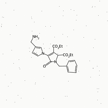 CCOC(=O)C1=C(n2ccc(CN)c2)C(=O)N(Cc2ccccc2)C1C(=O)OCC